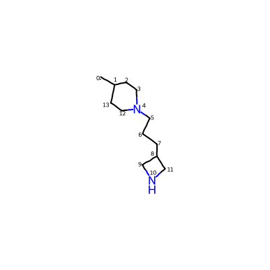 [CH2]C1CCN(CCCC2CNC2)CC1